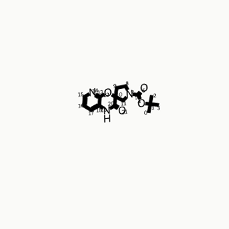 CC(C)(C)OC(=O)N1CCC2(C1)Oc1ncccc1NC2=O